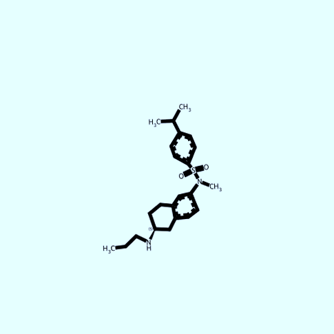 CCCN[C@H]1CCc2cc(N(C)S(=O)(=O)c3ccc(C(C)C)cc3)ccc2C1